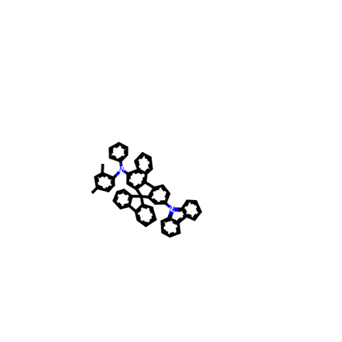 Cc1ccc(N(c2ccccc2)c2cc3c(c4ccccc24)-c2ccc(-n4c5ccccc5c5ccccc54)cc2C32c3ccccc3-c3ccccc32)c(C)c1